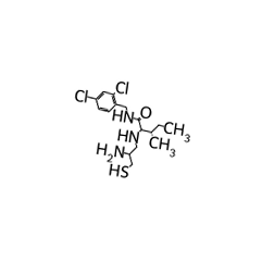 CC[C@H](C)[C@@H](NCC(N)CS)C(=O)NCc1ccc(Cl)cc1Cl